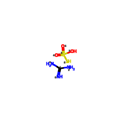 N=C(N)N.O=S(=O)(O)S